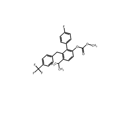 COC(=O)Oc1ccc(C(C)C)c(Cc2ccc(C(F)(F)F)cc2)c1-c1ccc(F)cc1